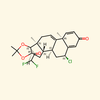 CC1(C)O[C@@H]2C[C@H]3[C@@H]4C[C@H](Cl)C5=CC(=O)C=C[C@]5(C)C4=CC[C@]3(C)[C@]2(C(=O)C(F)F)O1